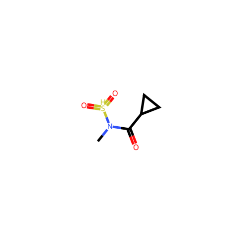 CN(C(=O)C1CC1)[SH](=O)=O